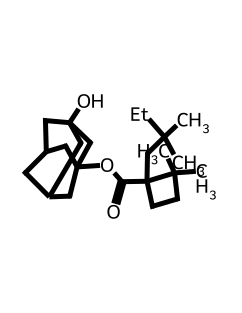 CCC(C)(C)CC1(C(=O)OC23CC4CC(CC(O)(C4)C2)C3)CCC1(C)C